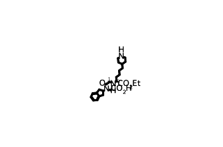 CCOC(=O)[C@H](CCCCC1CCNCC1)N[C@@H](C)C(=O)N(CC(=O)O)C1Cc2ccccc2C1